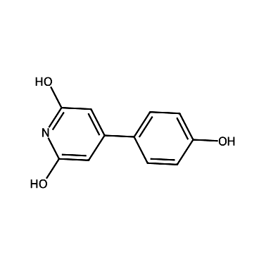 Oc1ccc(-c2cc(O)nc(O)c2)cc1